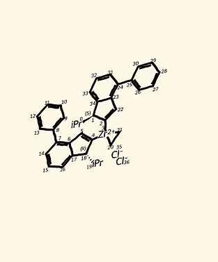 CC(C)[C@@H]1[C]([Zr+2]2([C]3=Cc4c(-c5ccccc5)cccc4[C@H]3C(C)C)[CH2][CH2]2)=Cc2c(-c3ccccc3)cccc21.[Cl-].[Cl-]